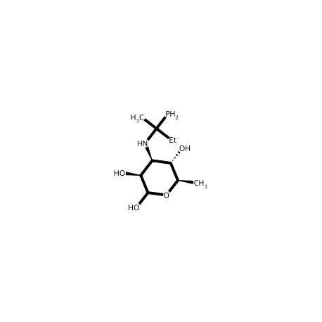 CCC(C)(P)N[C@H]1[C@H](O)[C@@H](C)OC(O)[C@H]1O